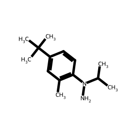 Cc1cc(C(C)(C)C)ccc1N(N)C(C)C